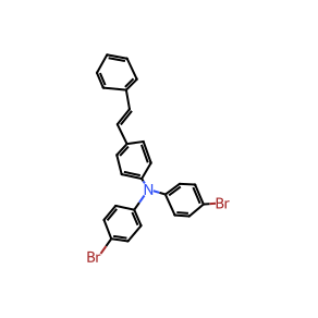 Brc1ccc(N(c2ccc(Br)cc2)c2ccc(C=Cc3ccccc3)cc2)cc1